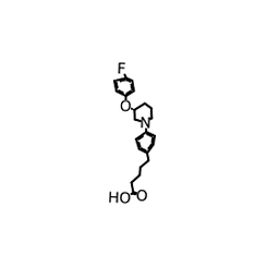 O=C(O)CCCCc1ccc(N2CCC[C@H](Oc3ccc(F)cc3)C2)cc1